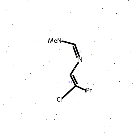 CN/C=N\C=C(\Cl)C(C)C